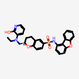 CCN(C[C@H]1CCc2cc(S(=O)(=O)Nc3cccc4oc5ccccc5c34)ccc2O1)c1cccnc1O